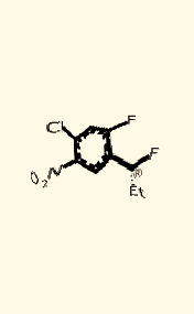 [CH2]C[C@@H](F)c1cc([N+](=O)[O-])c(Cl)cc1F